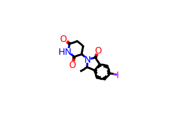 CC1c2ccc(I)cc2C(=O)N1C1CCC(=O)NC1=O